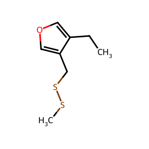 CCc1cocc1CSSC